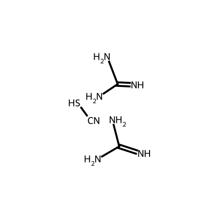 N#CS.N=C(N)N.N=C(N)N